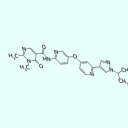 Cc1ncc(C(=O)Nc2ccc(Oc3ccnc(-c4cnn(C(C)C)c4)c3)cn2)c(=O)n1C